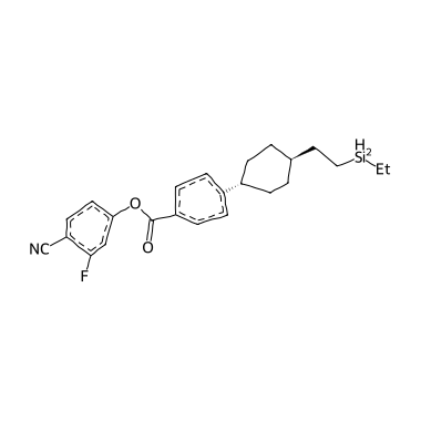 CC[SiH2]CC[C@H]1CC[C@H](c2ccc(C(=O)Oc3ccc(C#N)c(F)c3)cc2)CC1